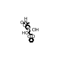 CC1NC(=O)OC12CCN(CC(O)C1COc3ccccc3O1)CC2.Cl